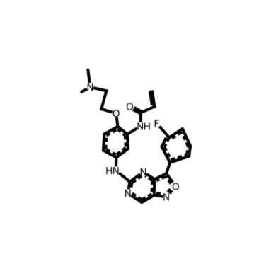 C=CC(=O)Nc1cc(Nc2ncc3noc(-c4cccc(F)c4)c3n2)ccc1OCCN(C)C